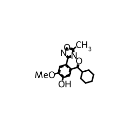 COc1cc(-c2noc(C)n2)c(C(=O)C2CCCCC2)cc1O